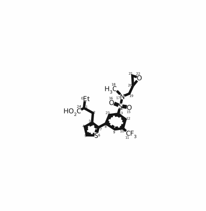 CCC(Cc1ccsc1-c1cc(C(F)(F)F)cc(S(=O)(=O)N(C)CC2CO2)c1)C(=O)O